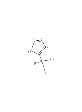 FC(F)(F)c1[c]cco1